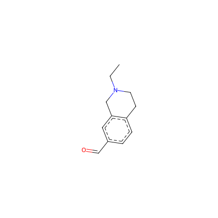 CCN1CCc2ccc(C=O)cc2C1